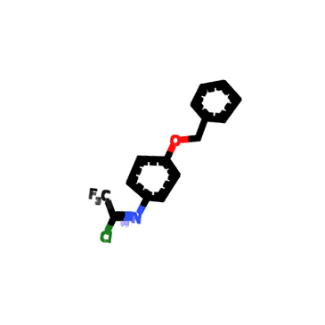 FC(F)(F)/C(Cl)=N\c1ccc(OCc2ccccc2)cc1